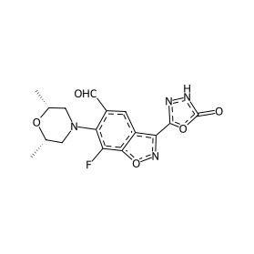 C[C@@H]1CN(c2c(C=O)cc3c(-c4n[nH]c(=O)o4)noc3c2F)C[C@H](C)O1